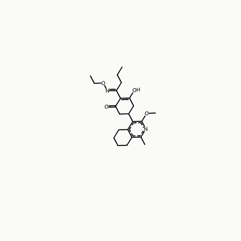 CCCC(=NOCC)C1=C(O)CC(c2c(OC)nc(C)c3c2CCCC3)CC1=O